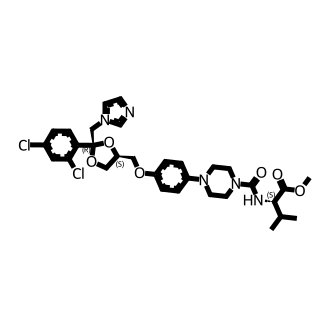 COC(=O)[C@@H](NC(=O)N1CCN(c2ccc(OC[C@H]3CO[C@](Cn4ccnc4)(c4ccc(Cl)cc4Cl)O3)cc2)CC1)C(C)C